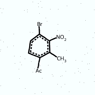 CC(=O)c1ccc(Br)c([N+](=O)[O-])c1C